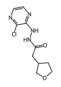 O=C(CC1CCOC1)NNc1nccnc1Cl